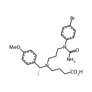 COc1ccc([C@@H](C)N(CCCC(=O)O)CCCN(C(N)=O)c2ccc(Br)cc2)cc1